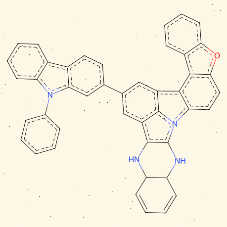 C1=CC2Nc3c(n4c5ccc6oc7ccccc7c6c5c5cc(-c6ccc7c8ccccc8n(-c8ccccc8)c7c6)cc3c54)NC2C=C1